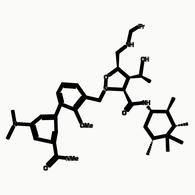 CNC(=O)c1cc(-c2cccc(CN3O[C@@H](CNCC(C)C)[C@@H]([C@H](C)O)[C@H]3C(=O)N[C@H]3C[C@@H](C)C(C)(C)[C@@H](C)[C@@H]3C)c2OC)cc(N(C)C)c1